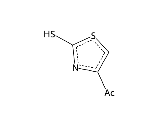 CC(=O)c1csc(S)n1